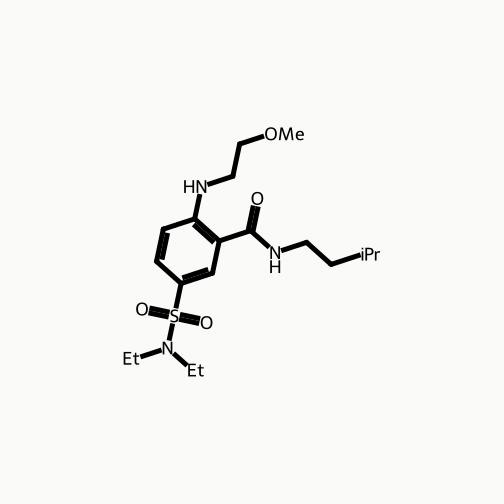 CCN(CC)S(=O)(=O)c1ccc(NCCOC)c(C(=O)NCCC(C)C)c1